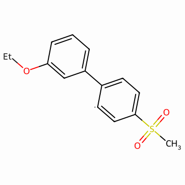 CCOc1cccc(-c2[c]cc(S(C)(=O)=O)cc2)c1